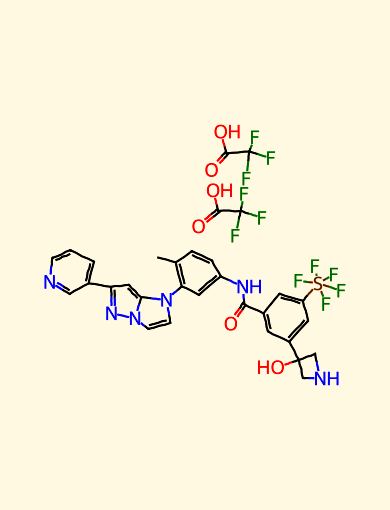 Cc1ccc(NC(=O)c2cc(C3(O)CNC3)cc(S(F)(F)(F)(F)F)c2)cc1-n1ccn2nc(-c3cccnc3)cc12.O=C(O)C(F)(F)F.O=C(O)C(F)(F)F